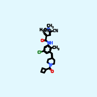 Cc1c(C=C2CCN(C(=O)C3CCC3)CC2)cc(Cl)cc1NC(=O)C(/C=C(/C#N)N(C)C)=C/C=O